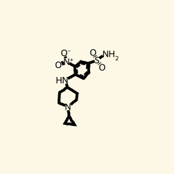 NS(=O)(=O)c1ccc(NC2CCN(C3CC3)CC2)c([N+](=O)[O-])c1